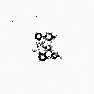 COc1cccc(OC)c1-n1c(NS(=O)(=O)[C@@H]2CCC[C@H]2c2ncc(F)cn2)nnc1-c1nc(C)cs1